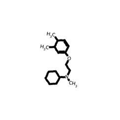 CC1C=CC(OCCN(C)C2CCCCC2)=CC1C